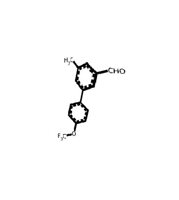 Cc1cc(C=O)cc(-c2ccc(OC(F)(F)F)cc2)c1